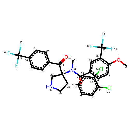 COc1ccc(C(=O)N(C)[C@]2(C(=O)c3ccc(C(F)(F)F)cc3)CNC[C@H]2c2ccc(Cl)c(Cl)c2)cc1C(F)(F)F